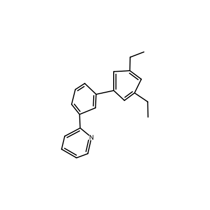 CCc1cc(CC)cc(-c2cccc(-c3ccccn3)c2)c1